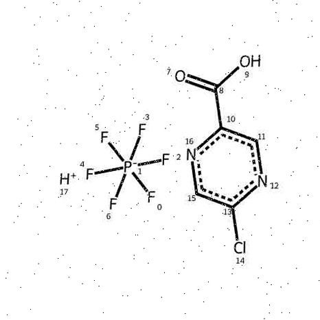 F[P-](F)(F)(F)(F)F.O=C(O)c1cnc(Cl)cn1.[H+]